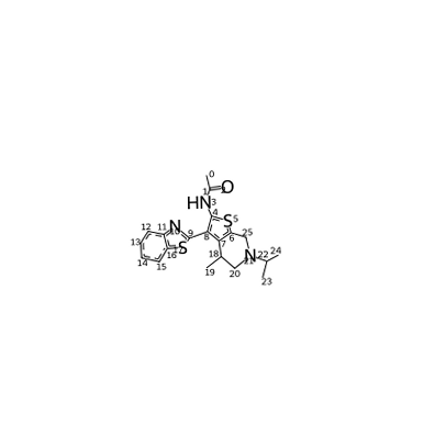 CC(=O)Nc1sc2c(c1-c1nc3ccccc3s1)C(C)CN(C(C)C)C2